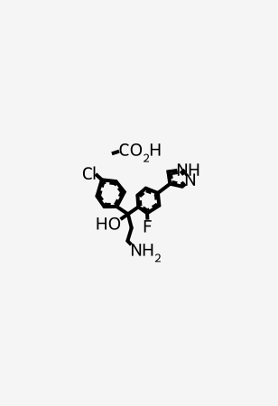 CC(=O)O.NCCC(O)(c1ccc(Cl)cc1)c1ccc(-c2cn[nH]c2)cc1F